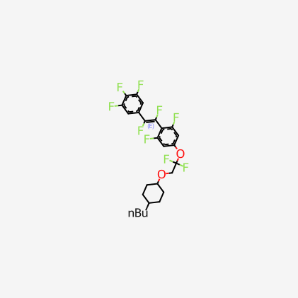 CCCCC1CCC(OCC(F)(F)Oc2cc(F)c(/C(F)=C(\F)c3cc(F)c(F)c(F)c3)c(F)c2)CC1